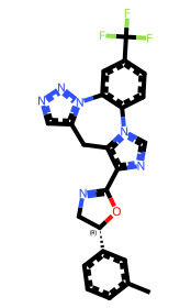 Cc1cccc([C@@H]2CN=C(c3ncn4c3Cc3cnnn3-c3cc(C(F)(F)F)ccc3-4)O2)c1